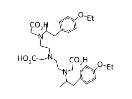 CCOc1ccc(CC(C)N(CCN(CCN(CC(=O)O)C(C)Cc2ccc(OCC)cc2)CC(=O)O)CC(=O)O)cc1